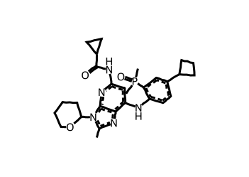 Cc1nc2c(Nc3ccc(C4CCC4)cc3P(C)(C)=O)cc(NC(=O)C3CC3)nc2n1C1CCCCO1